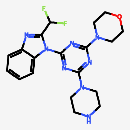 FC(F)c1nc2ccccc2n1-c1nc(N2CCNCC2)nc(N2CCOCC2)n1